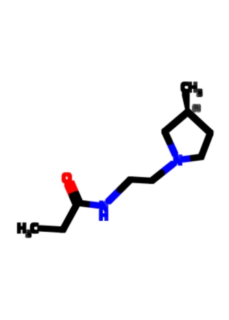 CCC(=O)NCCN1CC[C@H](C)C1